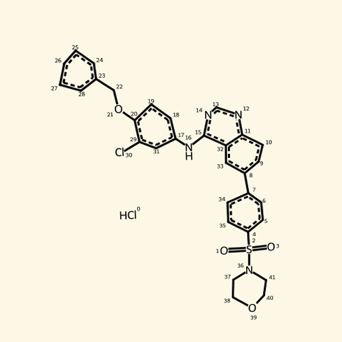 Cl.O=S(=O)(c1ccc(-c2ccc3ncnc(Nc4ccc(OCc5ccccc5)c(Cl)c4)c3c2)cc1)N1CCOCC1